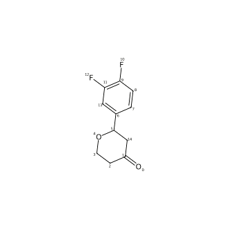 O=C1CCOC(c2ccc(F)c(F)c2)C1